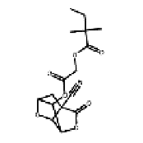 CCC(C)(C)C(=O)OCC(=O)OC1C2CC3(C#N)C(=O)OC1C3O2